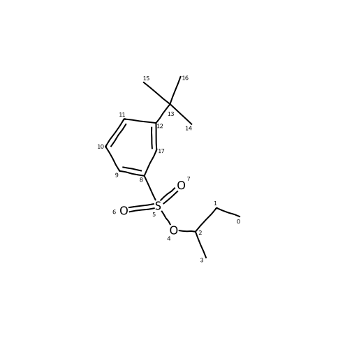 CCC(C)OS(=O)(=O)c1cccc(C(C)(C)C)c1